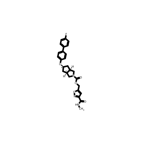 CNC(=O)c1cc(COC(=O)N2C[C@H]3C[C@@H](Oc4ccc(-c5ccc(F)cc5)cc4)C[C@H]3C2)on1